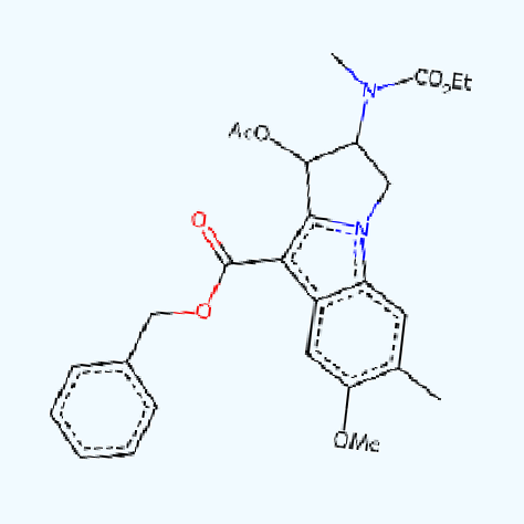 CCOC(=O)N(C)C1Cn2c(c(C(=O)OCc3ccccc3)c3cc(OC)c(C)cc32)C1OC(C)=O